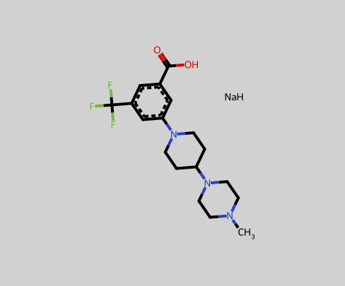 CN1CCN(C2CCN(c3cc(C(=O)O)cc(C(F)(F)F)c3)CC2)CC1.[NaH]